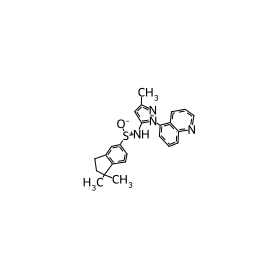 Cc1cc(N[S+]([O-])c2ccc3c(c2)CCC3(C)C)n(-c2cccc3ncccc23)n1